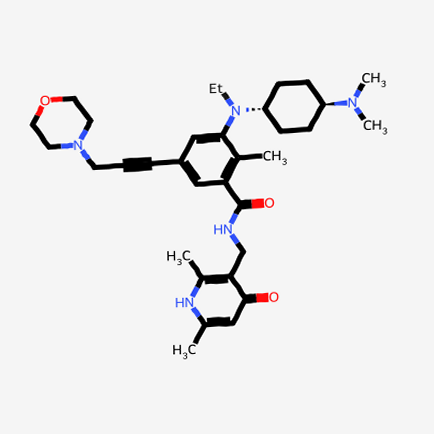 CCN(c1cc(C#CCN2CCOCC2)cc(C(=O)NCc2c(C)[nH]c(C)cc2=O)c1C)[C@H]1CC[C@H](N(C)C)CC1